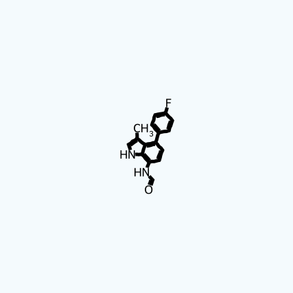 Cc1c[nH]c2c(NC=O)ccc(-c3ccc(F)cc3)c12